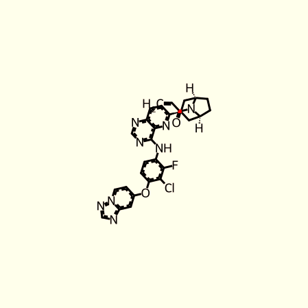 C=CC(=O)N1[C@@H]2CC[C@H]1C[C@@H](c1ccc3ncnc(Nc4ccc(Oc5ccn6ncnc6c5)c(Cl)c4F)c3n1)C2